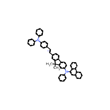 CC1(C)c2cc(/C=C/c3ccc(N(c4ccccc4)c4ccccc4)cc3)ccc2-c2ccc(N(c3ccccc3)c3cc4ccccc4c4ccccc34)cc21